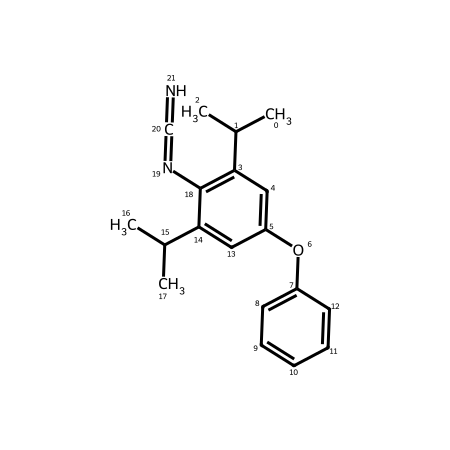 CC(C)c1cc(Oc2ccccc2)cc(C(C)C)c1N=C=N